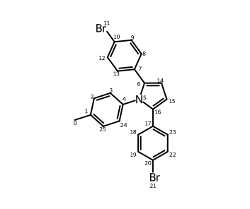 Cc1ccc(-n2c(-c3ccc(Br)cc3)ccc2-c2ccc(Br)cc2)cc1